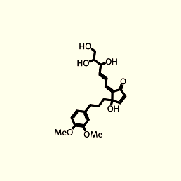 COc1ccc(CCCC2(O)C=CC(=O)/C2=C\C=C\C(O)C(O)CO)cc1OC